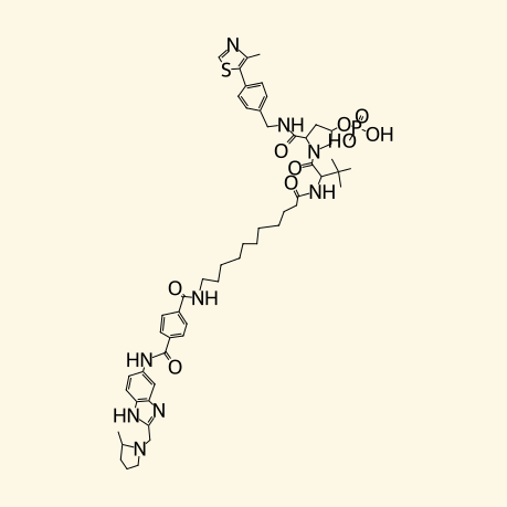 Cc1ncsc1-c1ccc(CNC(=O)C2CC(OP(=O)(O)O)CN2C(=O)C(NC(=O)CCCCCCCCCCNC(=O)c2ccc(C(=O)Nc3ccc4[nH]c(CN5CCCC5C)nc4c3)cc2)C(C)(C)C)cc1